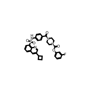 O=C(Oc1cccc(F)c1)N1CCN(C(=O)c2ccc(NS(=O)(=O)c3cccc4cc(C5CCC5)cnc34)cc2)CC1